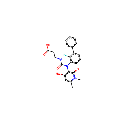 Cc1cc(O)c(N(C(=O)NCCC(=O)O)c2cccc(-c3ccccc3)c2F)c(=O)n1C